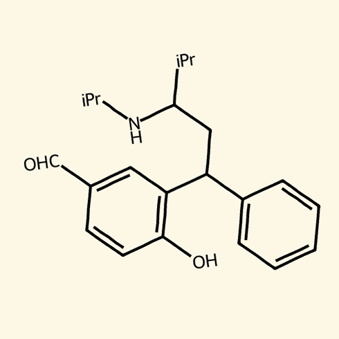 CC(C)NC(CC(c1ccccc1)c1cc(C=O)ccc1O)C(C)C